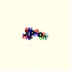 O=C(Nc1ccc(OC(F)(F)Cl)cc1)c1cc(-c2ccn[nH]2)c2c(c1)nc1n2[C@@H](CCO)CO1